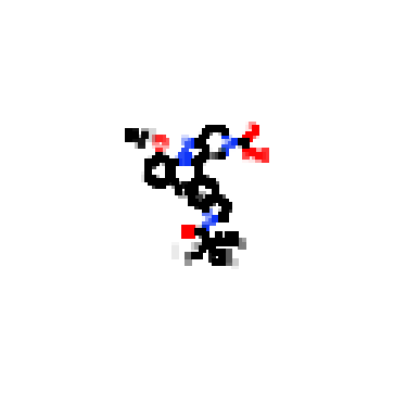 COc1cccc(C)c1-n1nc2c(c1-c1ccc3c(ccn3C(=O)C(C)(C)C)c1)CN(C(=O)O)CC2